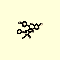 CCOC(=O)c1nn(-c2ccc(Cl)cc2Cl)c(Oc2ccc(Cl)cc2)c1CNC1CCCC1